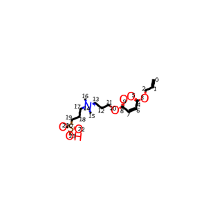 C=CCOC(=O)/C=C\C(=O)OCCC[N+](C)(C)CCCS(=O)(=O)O